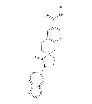 O=C(NO)c1ccc2c(c1)CC[C@@]1(CCN(c3ccc4nccn4c3)C1=O)C2